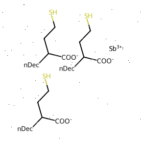 CCCCCCCCCCC(CCS)C(=O)[O-].CCCCCCCCCCC(CCS)C(=O)[O-].CCCCCCCCCCC(CCS)C(=O)[O-].[Sb+3]